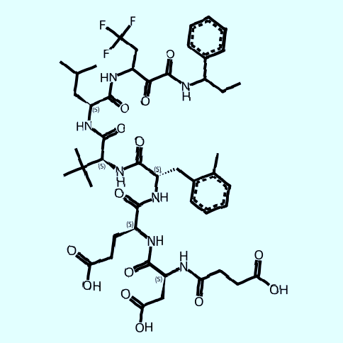 CCC(NC(=O)C(=O)C(CC(F)(F)F)NC(=O)[C@H](CC(C)C)NC(=O)[C@@H](NC(=O)[C@H](Cc1ccccc1C)NC(=O)[C@H](CCC(=O)O)NC(=O)[C@H](CC(=O)O)NC(=O)CCC(=O)O)C(C)(C)C)c1ccccc1